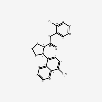 N#Cc1ccc(N2CCCN2C(=O)Cc2ccccc2F)c2ccccc12